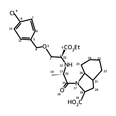 CCOC(=O)[C@H](COCc1ccc(Cl)cc1)N[C@@H](C)C(=O)N1C(C(=O)O)CC2CCCCC21